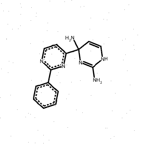 NC1=NC(N)(c2ccnc(-c3ccccc3)n2)C=CN1